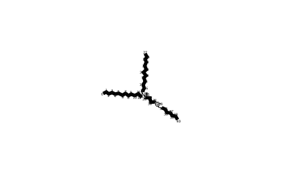 CCCCCCCCCCCCC[N+](C)(CCCCCCCCCCCCC)CCCCCCCCCCCCC